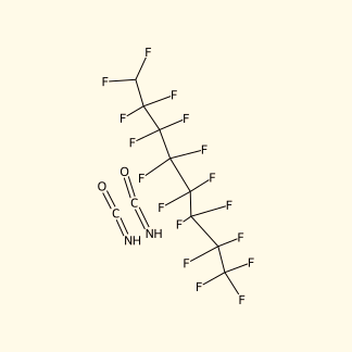 FC(F)C(F)(F)C(F)(F)C(F)(F)C(F)(F)C(F)(F)C(F)(F)C(F)(F)F.N=C=O.N=C=O